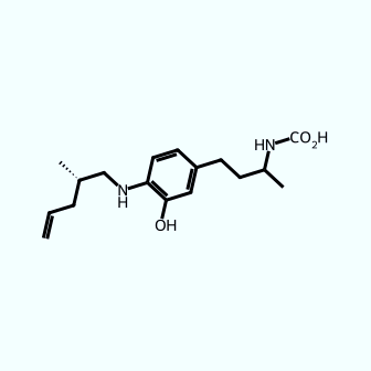 C=CC[C@H](C)CNc1ccc(CCC(C)NC(=O)O)cc1O